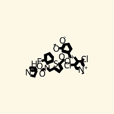 COc1ccc([C@H](Cc2c(Cl)c[n+](C)cc2Cl)OC(=O)c2ccc(CN(C(=O)O[C@H]3CN4CCC3CC4)c3ccccc3F)s2)cc1OC